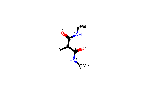 CONC(=O)C(C)C(=O)NOC